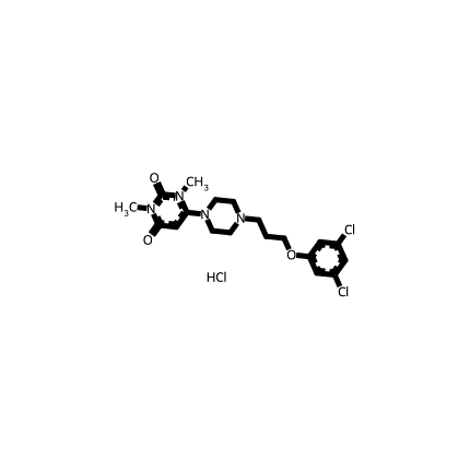 Cl.Cn1c(N2CCN(CCCOc3cc(Cl)cc(Cl)c3)CC2)cc(=O)n(C)c1=O